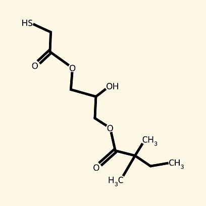 CCC(C)(C)C(=O)OCC(O)COC(=O)CS